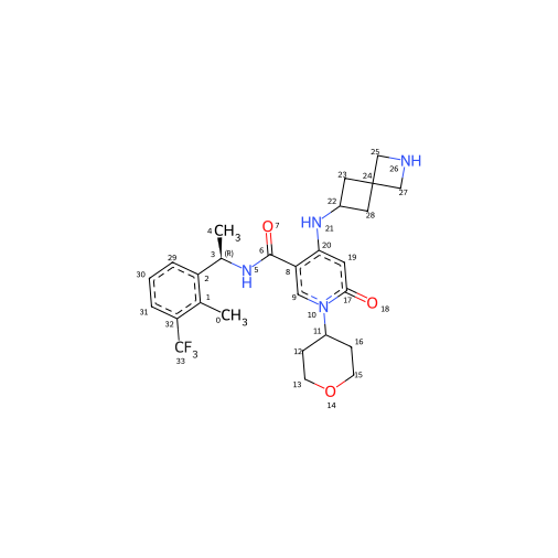 Cc1c([C@@H](C)NC(=O)c2cn(C3CCOCC3)c(=O)cc2NC2CC3(CNC3)C2)cccc1C(F)(F)F